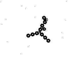 c1ccc(-c2ccc(-c3ccc(N(c4ccc(-c5ccc(-c6ccccc6)cc5)cc4)c4ccc5c(c4)C4(CCCC4)c4cc(-c6ccc7oc8ccccc8c7c6)ccc4-5)cc3)cc2)cc1